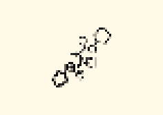 C[C@@H](C(=O)OC1CCCCC1)N(Cl)[PH](=O)Oc1ccccc1